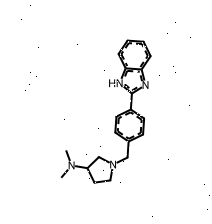 CN(C)C1CCN(Cc2ccc(-c3nc4ccccc4[nH]3)cc2)C1